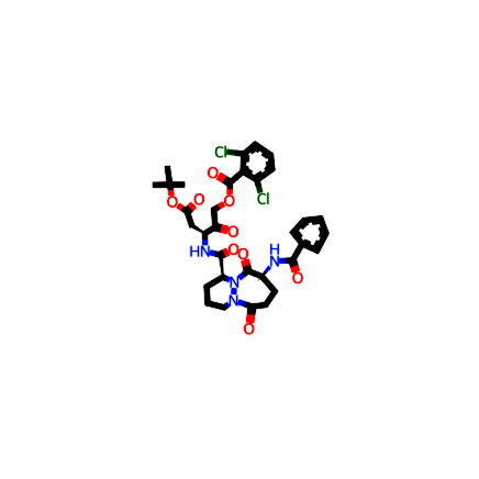 CC(C)(C)OC(=O)C[C@H](NC(=O)[C@@H]1CCCN2C(=O)CC[C@H](NC(=O)c3ccccc3)C(=O)N12)C(=O)COC(=O)c1c(Cl)cccc1Cl